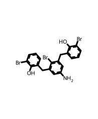 Nc1cc(Cc2cccc(Br)c2O)c(Br)c(Cc2cccc(Br)c2O)c1